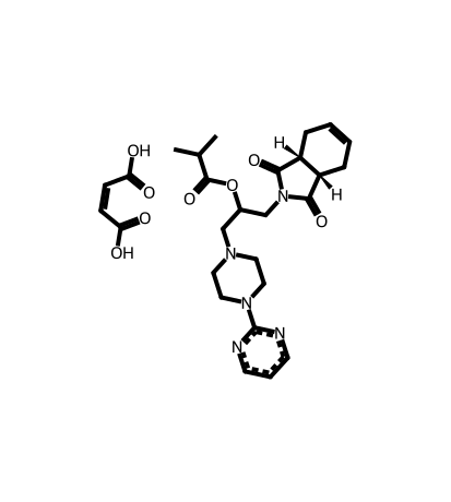 CC(C)C(=O)OC(CN1CCN(c2ncccn2)CC1)CN1C(=O)[C@H]2CC=CC[C@H]2C1=O.O=C(O)/C=C\C(=O)O